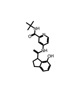 C=C(Nc1ccnc(C(=O)NC(C)(C)C)c1)C1CCc2cccc(O)c21